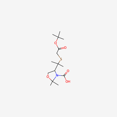 CC(C)(C)OC(=O)CSC(C)(C)C1COC(C)(C)N1C(=O)O